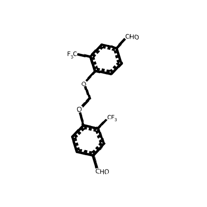 O=Cc1ccc(OCOc2ccc(C=O)cc2C(F)(F)F)c(C(F)(F)F)c1